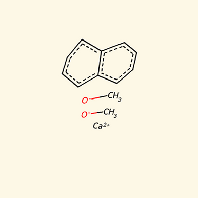 C[O-].C[O-].[Ca+2].c1ccc2ccccc2c1